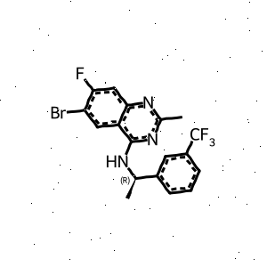 Cc1nc(N[C@H](C)c2cccc(C(F)(F)F)c2)c2cc(Br)c(F)cc2n1